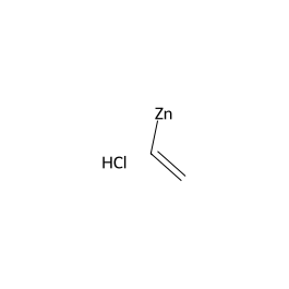 C=[CH][Zn].Cl